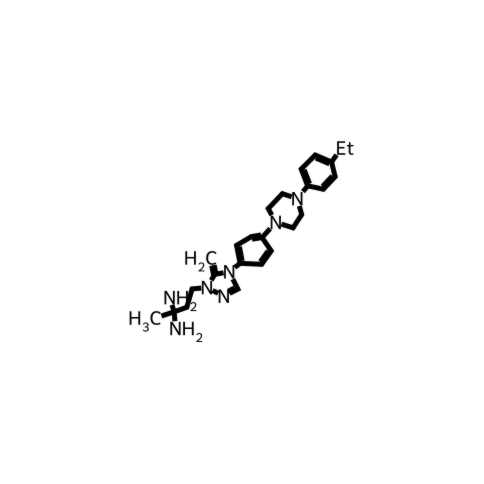 C=C1N(CCC(C)(N)N)N=CN1c1ccc(N2CCN(c3ccc(CC)cc3)CC2)cc1